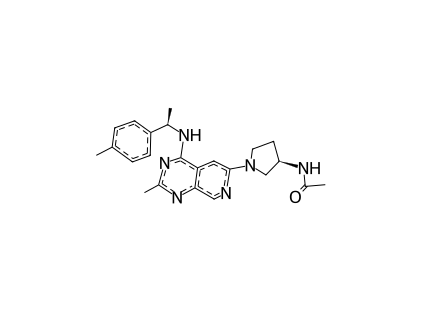 CC(=O)N[C@@H]1CCN(c2cc3c(N[C@H](C)c4ccc(C)cc4)nc(C)nc3cn2)C1